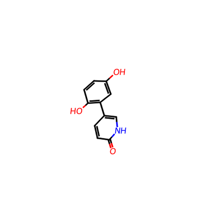 O=c1ccc(-c2cc(O)ccc2O)c[nH]1